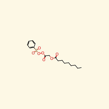 CCCCCCCCC(=O)OCC(=O)OOS(=O)(=O)c1ccccc1